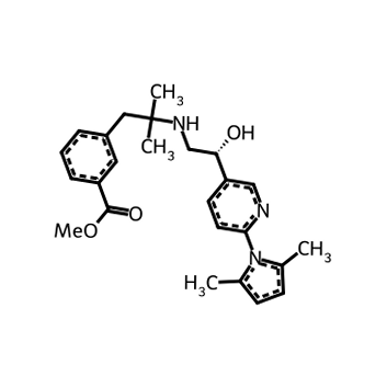 COC(=O)c1cccc(CC(C)(C)NC[C@H](O)c2ccc(-n3c(C)ccc3C)nc2)c1